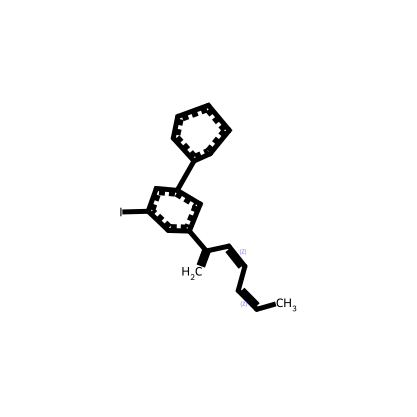 C=C(/C=C\C=C/C)c1cc(I)cc(-c2ccccc2)c1